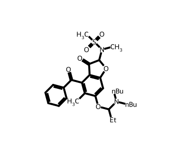 CCCCN(CCCC)C(CC)Oc1cc2c(c(C(=O)c3ccccc3)c1C)C(=O)C(N(C)S(C)(=O)=O)O2